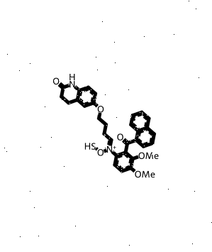 COc1ccc([N+](=CCCCOc2ccc3c(c2)CCC(=O)N3)OS)c(C(=O)c2cccc3ccccc23)c1OC